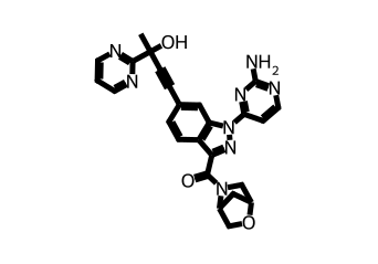 CC(O)(C#Cc1ccc2c(C(=O)N3CC4CC3CO4)nn(-c3ccnc(N)n3)c2c1)c1ncccn1